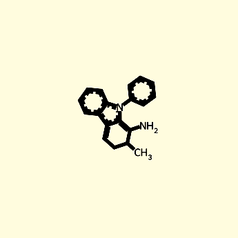 CC1CC=c2c(n(-c3ccccc3)c3ccccc23)=C1N